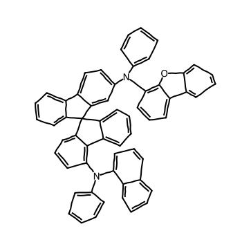 c1ccc(N(c2cccc3c2-c2ccccc2C32c3ccccc3-c3ccc(N(c4ccccc4)c4cccc5c4oc4ccccc45)cc32)c2cccc3ccccc23)cc1